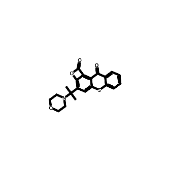 CC(C)(c1cc2sc3ccccc3c(=O)c2c2c1OC2=O)N1CCOCC1